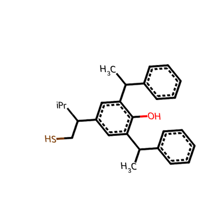 CC(c1ccccc1)c1cc(C(CS)C(C)C)cc(C(C)c2ccccc2)c1O